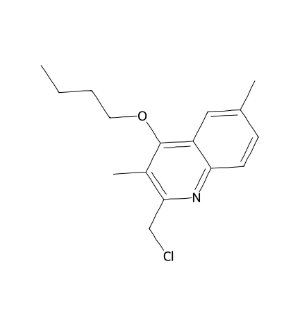 CCCCOc1c(C)c(CCl)nc2ccc(C)cc12